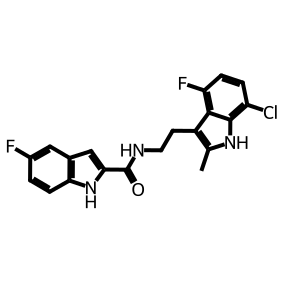 Cc1[nH]c2c(Cl)ccc(F)c2c1CCNC(=O)c1cc2cc(F)ccc2[nH]1